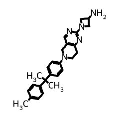 Cc1ccc(C(C)(C)c2ccc(N3CCc4nc(N5CC(N)C5)ncc4C3)cc2)cc1